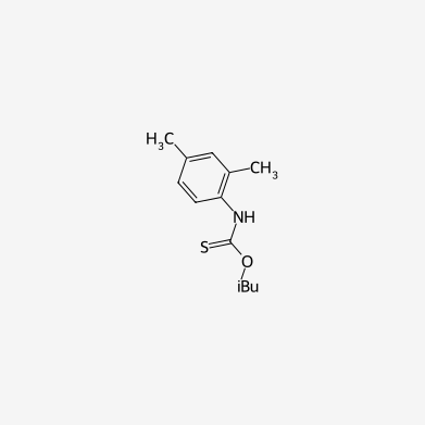 CCC(C)OC(=S)Nc1ccc(C)cc1C